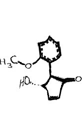 COc1ccccc1C1C(=O)C=C[C@@H]1O